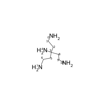 NCCC(N)(CCN)CCN